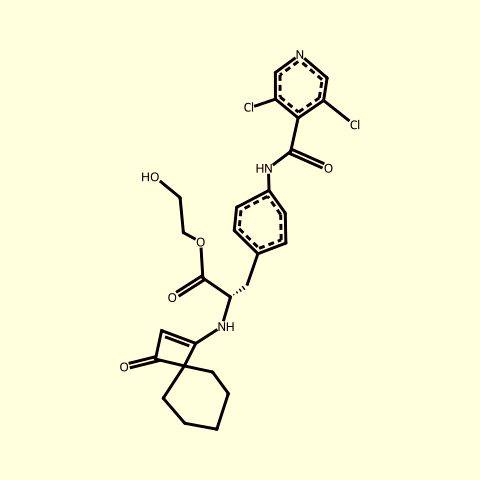 O=C(Nc1ccc(C[C@H](NC2=CC(=O)C23CCCCC3)C(=O)OCCO)cc1)c1c(Cl)cncc1Cl